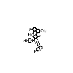 C#Cc1c(F)ccc2cc(O)cc(-c3ncc4c(N5CCNCC5)nc(OC[C@@]56CCCN5C[C@H](F)C6)nc4c3F)c12